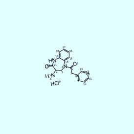 Cl.NC1CN(C(=O)Cc2cccnc2)c2ccccc2NC1=O